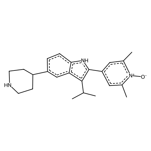 Cc1cc(-c2[nH]c3ccc(C4CCNCC4)cc3c2C(C)C)cc(C)[n+]1[O-]